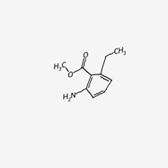 CCc1cccc(N)c1C(=O)OC